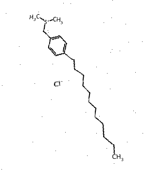 CCCCCCCCCCCCc1ccc(C[S+](C)C)cc1.[Cl-]